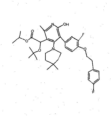 Cc1nc(O)c(-c2ccc(OCCc3ccc(F)cc3)c(F)c2)c(N2CCC(C)(C)CC2)c1C(OC(C)(C)C)C(=O)OC(C)C